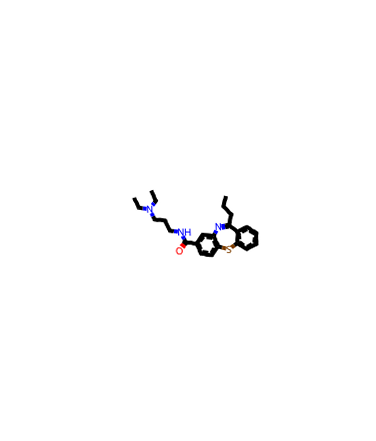 CCCC1=Nc2cc(C(=O)NCCCN(CC)CC)ccc2Sc2ccccc21